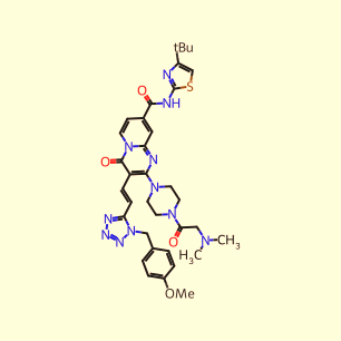 COc1ccc(Cn2nnnc2/C=C/c2c(N3CCN(C(=O)CN(C)C)CC3)nc3cc(C(=O)Nc4nc(C(C)(C)C)cs4)ccn3c2=O)cc1